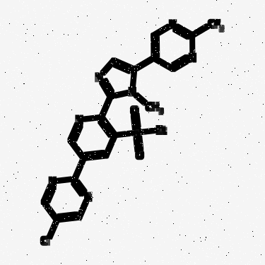 CCS(=O)(=O)c1cc(-c2ncc(Cl)cn2)cnc1-c1ncc(-c2cnc(C(F)(F)F)nc2)n1C